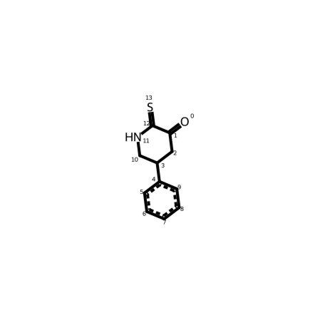 O=C1CC(c2ccccc2)CNC1=S